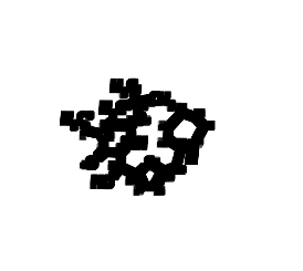 CCOC(=O)C(NC(=O)OC(C)(C)C)C(O)c1ccc(CC2CCCCCN2)s1